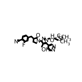 C[Si](C)(C)CCOCn1nc(N2CCC(Cc3ccc(C#N)c(F)c3)C2=O)c(CO)c1-c1ccnnc1